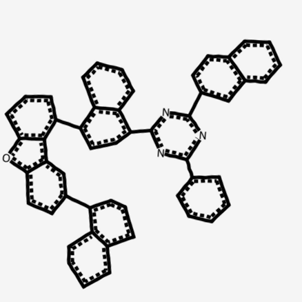 c1ccc(-c2nc(-c3ccc4ccccc4c3)nc(-c3ccc(-c4cccc5oc6ccc(-c7cccc8ccccc78)cc6c45)c4ccccc34)n2)cc1